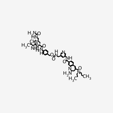 CCCN(CCC)C(=O)C1=Cc2ccc(C(=O)Nc3cncc(CNC(=O)OCc4ccc(NC(=O)[C@H](CCCNC(N)=O)NC(=O)[C@@H](N)C(C)C)cc4)c3)cc2N=C(N)C1